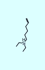 C=CCCCC[SiH](CC)CC